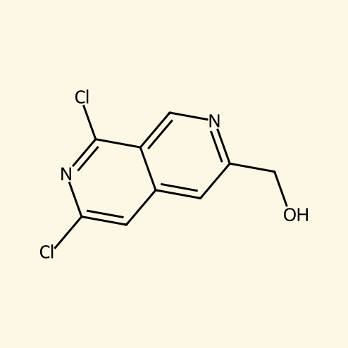 OCc1cc2cc(Cl)nc(Cl)c2cn1